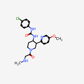 CNCC(=O)N1CCC(NC(=O)Nc2ccc(Cl)cc2)C(c2ccc(OC)cn2)C1